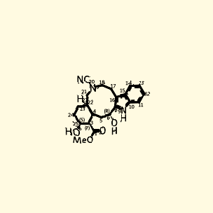 COC(=O)[C@@H]1C2C[C@@H](O)c3[nH]c4ccccc4c3CCN(C#N)C[C@@H]2CC[C@@H]1O